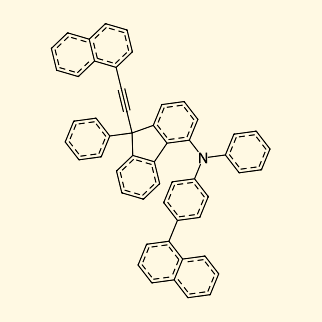 C(#CC1(c2ccccc2)c2ccccc2-c2c(N(c3ccccc3)c3ccc(-c4cccc5ccccc45)cc3)cccc21)c1cccc2ccccc12